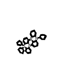 c1ccc(N2c3ccccc3B3c4cccc5c4N(c4ccccc4S5(c4ccccc4)c4ccccc4)c4cccc2c43)cc1